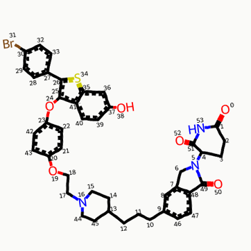 O=C1CCC(N2Cc3cc(CCCC4CCN(CCOc5ccc(Oc6c(-c7ccc(Br)cc7)sc7cc(O)ccc67)cc5)CC4)ccc3C2=O)C(=O)N1